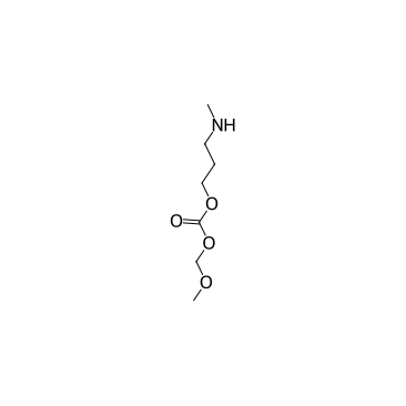 CNCCCOC(=O)OCOC